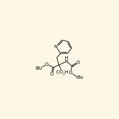 CCC(C)OC(=O)C(Cc1ccccn1)(NC(=O)OC(C)(C)C)C(=O)O